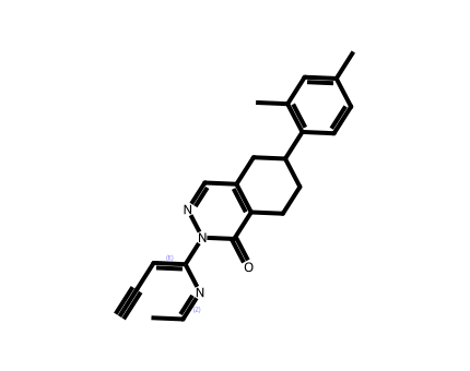 C#C/C=C(\N=C/C)n1ncc2c(c1=O)CCC(c1ccc(C)cc1C)C2